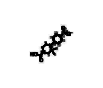 CC1(C)CN(C(=O)O)CCN1c1ccc([N+](=O)[O-])cc1